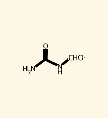 NC(=O)N[C]=O